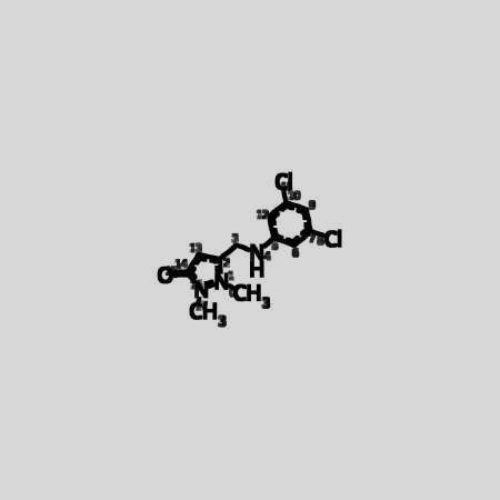 Cn1c(CNc2cc(Cl)cc(Cl)c2)cc(=O)n1C